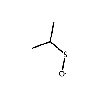 CC(C)S[O]